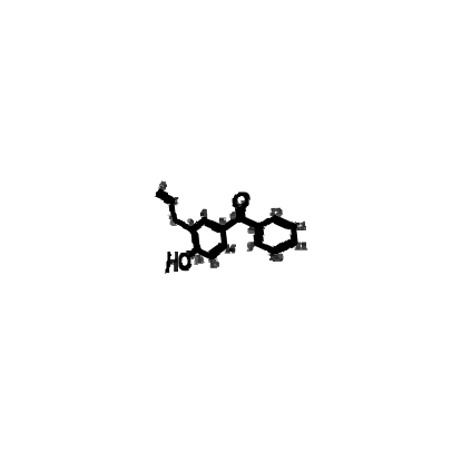 C=CCc1cc(C(=O)c2ccccc2)ccc1O